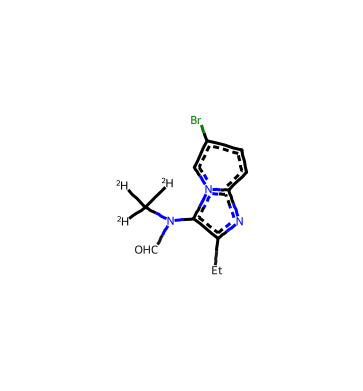 [2H]C([2H])([2H])N(C=O)c1c(CC)nc2ccc(Br)cn12